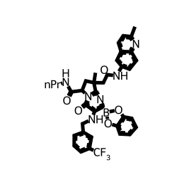 CCCNC(=O)C1CC(C)(CC(=O)Nc2ccc3nc(C)ccc3c2)c2nc(B3Oc4ccccc4O3)c(NCc3cccc(C(F)(F)F)c3)c(=O)n21